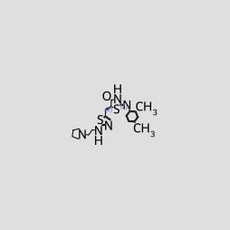 Cc1ccc(/N=C2/NC(=O)/C(=C/c3cnc(NCCN4CCCC4)s3)S2)c(C)c1